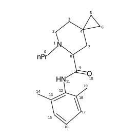 CCCN1CCC2(CC2)CC1C(=O)Nc1c(C)cccc1C